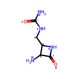 NC(=O)NCC1NC(=O)C1N